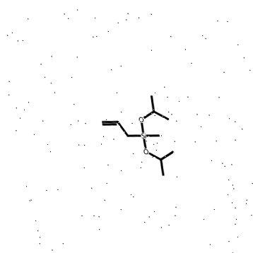 C=CC[Si](C)(OC(C)C)OC(C)C